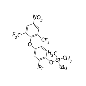 CC(C)c1cc(Oc2c(C(F)(F)F)cc([N+](=O)[O-])cc2C(F)(F)F)ccc1O[Si](C)(C)C(C)(C)C